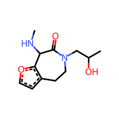 CNC1C(=O)N(CC(C)O)CCc2ccoc21